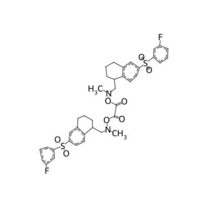 CN(CC1CCCc2cc(S(=O)(=O)c3cccc(F)c3)ccc21)OC(=O)C(=O)ON(C)CC1CCCc2cc(S(=O)(=O)c3cccc(F)c3)ccc21